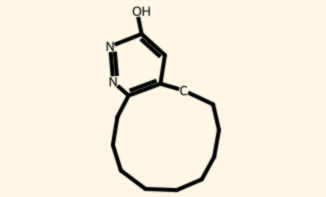 Oc1cc2c(nn1)CCCCCCCCCC2